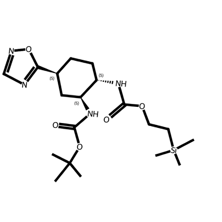 CC(C)(C)OC(=O)N[C@H]1C[C@@H](c2ncno2)CC[C@@H]1NC(=O)OCC[Si](C)(C)C